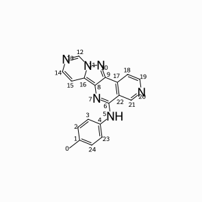 Cc1ccc(Nc2nc3c(nn4cnccc34)c3ccncc23)cc1